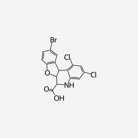 O=C(O)C1Nc2cc(Cl)cc(Cl)c2C2c3cc(Br)ccc3OC12